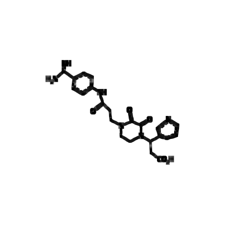 N=C(N)c1ccc(NC(=O)CCN2CCN(C(CC(=O)O)c3cccnc3)C(=O)C2=O)cc1